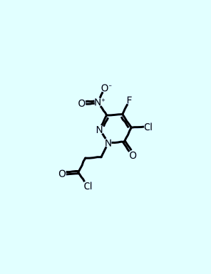 O=C(Cl)CCn1nc([N+](=O)[O-])c(F)c(Cl)c1=O